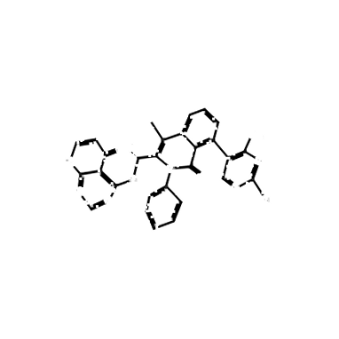 Cc1nc(N)ncc1-c1cccc2c(Cl)c([C@H](C)Nc3ncnc4[nH]ccc(=O)c34)n(-c3ccccc3)c(=O)c12